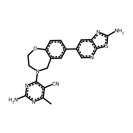 Cc1nc(N)nc(N2CCOc3ccc(-c4cnc5sc(N)nc5c4)cc3C2)c1C#N